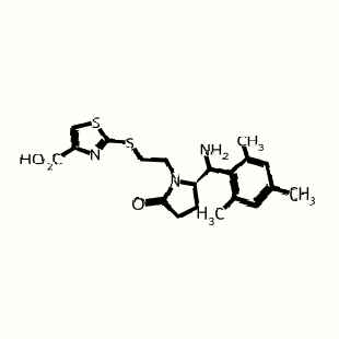 Cc1cc(C)c(C(N)[C@H]2CCC(=O)N2CCSc2nc(C(=O)O)cs2)c(C)c1